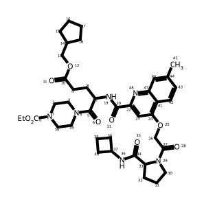 CCOC(=O)N1CCN(C(=O)C(CCC(=O)OCC2CCCC2)NC(=O)c2cc(OCC(=O)N3CCCC3C(=O)NC3CCC3)c3ccc(C)cc3n2)CC1